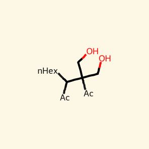 CCCCCCC(C(C)=O)C(CO)(CO)C(C)=O